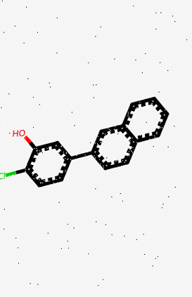 Oc1cc(-c2ccc3ccccc3c2)ccc1Cl